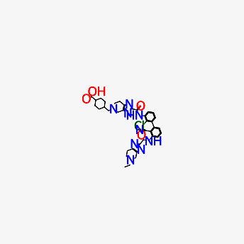 CCN1CCc2c(nc(C(=O)Nc3cccc(-c4cccc(NC(=O)c5nc6c(n5C)CCN(CC5CCC(C(=O)O)CC5)C6)c4Cl)c3C#N)n2C)C1